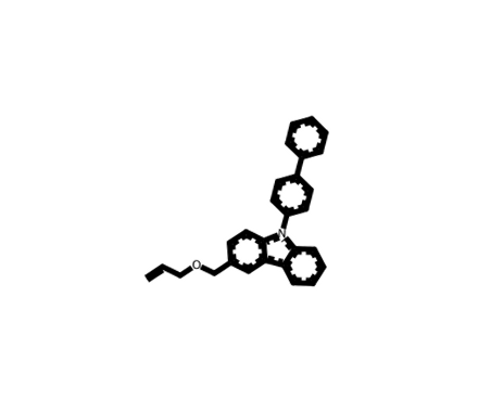 C=CCOCc1ccc2c(c1)c1ccccc1n2-c1ccc(-c2ccccc2)cc1